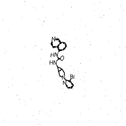 O=C(Nc1cccc2cnccc12)NC1C2CN(c3ncccc3Br)CC21